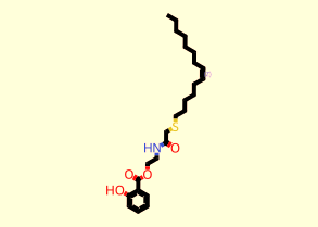 CCCCCCC/C=C\CCCCCSCC(=O)NCCOC(=O)c1ccccc1O